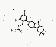 CC(=O)OCc1c(Br)cc(F)cc1N1CCN2C3=C(CCC(F)(F)C3)C(=O)C2C1